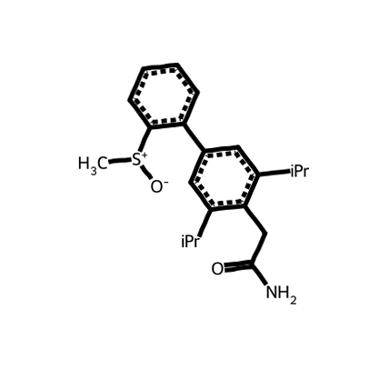 CC(C)c1cc(-c2ccccc2[S+](C)[O-])cc(C(C)C)c1CC(N)=O